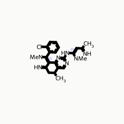 CN/C(=C1\C(=N)CC(C)c2cnc(N/C(=C/C(C)=N)NC)nc21)c1ccccc1Cl